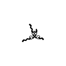 C=CCCCOCC(COCC)(COCC=C)COCCCC=C